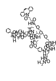 CC[C@H](C)[C@@H]([C@@H](CC(=O)N1CCC[C@H]1[C@H](OC)[C@@H](C)C(=O)N[C@H](C)[C@@H](O)c1ccccc1)OC)N(C)C(=O)[C@@H](NC(=O)[C@H](C(C)C)N(C)C(=O)OCc1ccc(NC(=O)[C@H](CCCNC(N)=O)NC(=O)[C@@H](NC(=O)CCOCCOCCOCCNC(=O)CCC(=O)N2Cc3ccccc3C#Cc3ccccc32)C(C)C)cc1)C(C)C